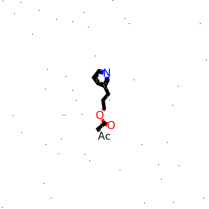 CC(=O)CC(=O)OCCCc1cccnc1